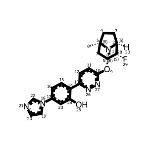 CN1[C@H]2CC[C@]1(C)C[C@@H](Oc1ccc(-c3ccc(-n4ccnc4)cc3O)nn1)[C@H]2F